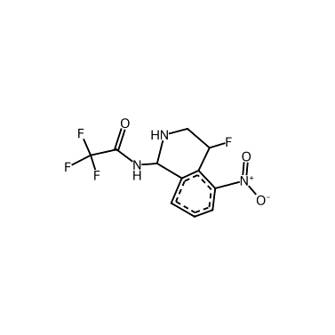 O=C(NC1NCC(F)c2c1cccc2[N+](=O)[O-])C(F)(F)F